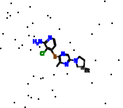 CC[C@H]1CCN(c2cnc(Sc3ccnc(N)c3Cl)c(C)n2)C1